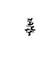 C=Cc1nc(C)cn2c(C(=C)NC(C)(CC)c3nnc(C)s3)c(C)nc12